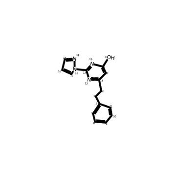 Oc1[c]c(CCc2ccccc2)nc(-n2cccn2)n1